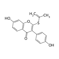 C=C(C)Sc1oc2cc(O)ccc2c(=O)c1-c1ccc(O)cc1